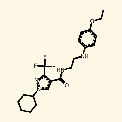 CCOc1ccc(NCCNC(=O)c2cn(C3CCCCC3)nc2C(F)(F)F)cc1